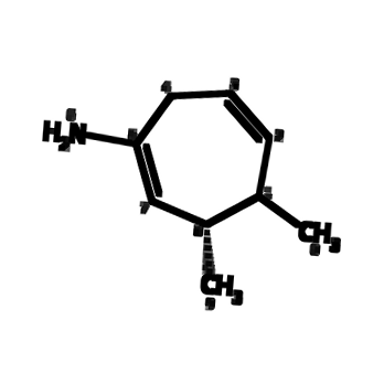 CC1C=CCC(N)=C[C@H]1C